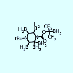 BC1C(B)N(C(=O)OC(B)(C(F)(F)F)C(F)(F)F)C(B)(B)C(B)N1C(C)(C)C